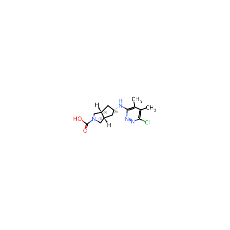 Cc1c(Cl)nnc(N[C@@H]2C[C@@H]3CN(C(=O)O)C[C@@H]3C2)c1C